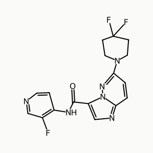 O=C(Nc1ccncc1F)c1cnc2ccc(N3CCC(F)(F)CC3)nn12